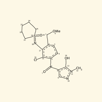 COCc1ccc(C(=O)c2cnn(C)c2O)c(Cl)c1N=S1(=O)CCCCC1